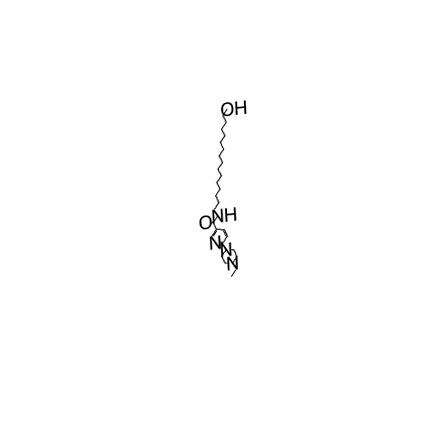 CCN1CCN(c2ccc(C(=O)NCCCCCCCCCCCCCCCO)cn2)CC1